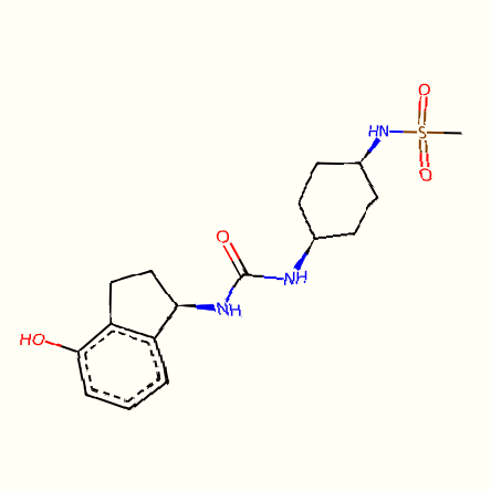 CS(=O)(=O)N[C@H]1CC[C@@H](NC(=O)N[C@@H]2CCc3c(O)cccc32)CC1